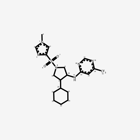 Cn1cnc(S(=O)(=O)N2CC(Nc3cc(C(F)(F)F)ncn3)C(C3CCCCC3)C2)c1